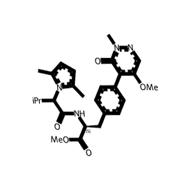 COC(=O)[C@H](Cc1ccc(-c2c(OC)cnn(C)c2=O)cc1)NC(=O)C(C(C)C)n1c(C)ccc1C